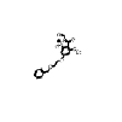 CCOc1cc(OCCOCc2ccccc2)cc2c1C(=O)N(CCl)S2(=O)=O